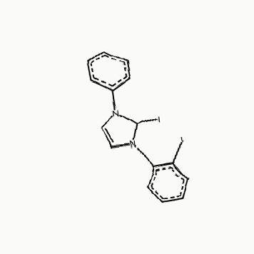 Ic1ccccc1N1C=CN(c2ccccc2)C1I